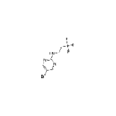 FC(F)(F)CCNc1ncc(Br)cn1